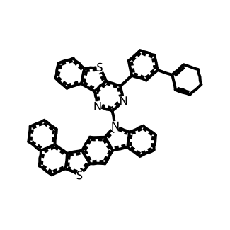 C1=CC(c2cccc(-c3nc(-n4c5ccccc5c5cc6sc7ccc8ccccc8c7c6cc54)nc4c3sc3ccccc34)c2)=CCC1